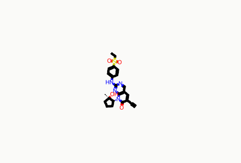 C#Cc1cc2cnc(Nc3ccc(S(=O)(=O)CC)cc3)nc2n([C@@H]2CCC[C@@]2(C)O)c1=O